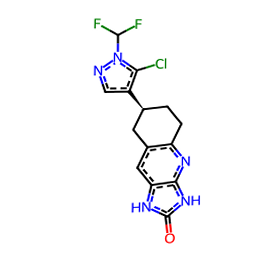 O=c1[nH]c2cc3c(nc2[nH]1)CC[C@H](c1cnn(C(F)F)c1Cl)C3